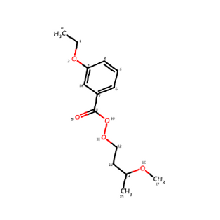 CCOc1cccc(C(=O)OO[CH]CC(C)OC)c1